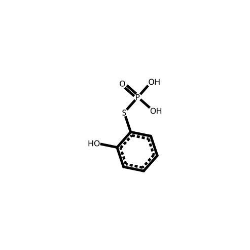 O=P(O)(O)Sc1ccccc1O